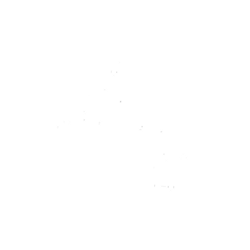 O=COC(=O)CC1CCC2C(=O)OC(=O)C2C1